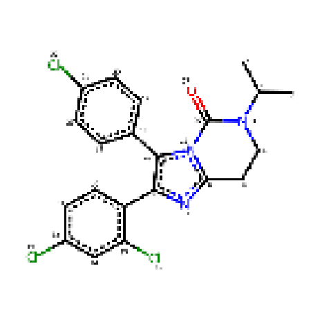 CC(C)N1CCc2nc(-c3ccc(Cl)cc3Cl)c(-c3ccc(Cl)cc3)n2C1=O